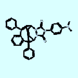 CN(C)c1ccc(-n2c(=O)n3n(c2=O)C2C=CC3C3=C(c4ccccc4)c4ccccc4C2(c2ccccc2)C3)cc1